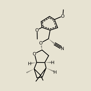 COc1ccc(OC)c([C@H](C#N)O[C@@H]2C[C@H]3[C@H]4CC[C@@](C)([C@H]3O2)C4(C)C)c1